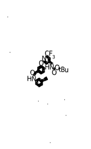 C#Cc1cccc(NC2OC2c2cccc(Oc3cc(CNC(=O)OC(C)(C)C)cc(C(F)(F)F)n3)c2)c1